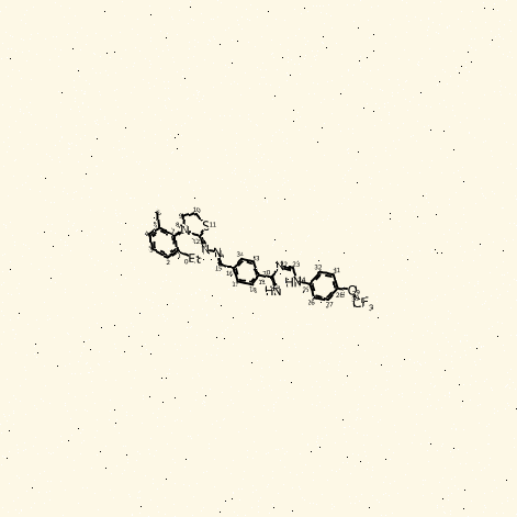 CCc1cccc(C)c1N1CCS/C1=N\N=C\c1ccc(C(=N)/N=C\Nc2ccc(OC(F)(F)F)cc2)cc1